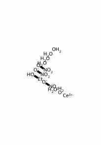 CCO.O.O.O.O.O.O.O=[N+]([O-])[O-].O=[N+]([O-])[O-].O=[N+]([O-])[O-].[Ce+3]